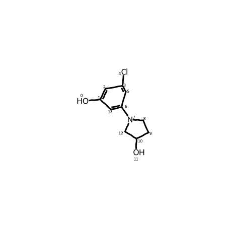 Oc1cc(Cl)cc(N2CCC(O)C2)c1